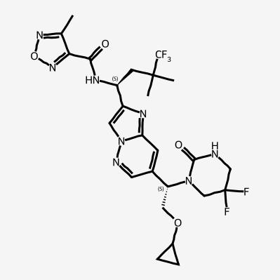 Cc1nonc1C(=O)N[C@@H](CC(C)(C)C(F)(F)F)c1cn2ncc([C@@H](COC3CC3)N3CC(F)(F)CNC3=O)cc2n1